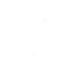 CCC1c2ccccc2-c2cc3c(cc21)-c1ccccc1C3(C)CC